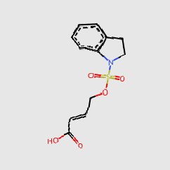 O=C(O)C=CCOS(=O)(=O)N1CCc2ccccc21